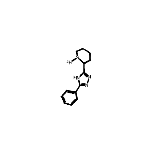 [2H]N1CCCCC1c1nnc(-c2ccccc2)[nH]1